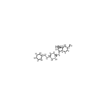 Fc1ccc2c(CN3CC=C(CCc4ccccc4)CC3)c[nH]c2c1